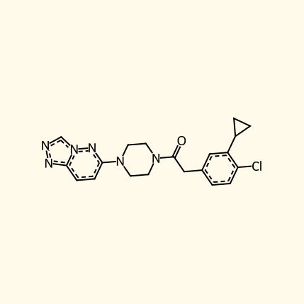 O=C(Cc1ccc(Cl)c(C2CC2)c1)N1CCN(c2ccc3nncn3n2)CC1